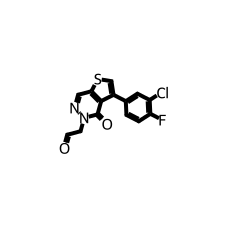 O=CCn1ncc2scc(-c3ccc(F)c(Cl)c3)c2c1=O